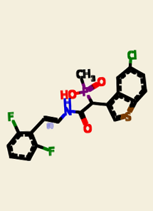 CP(=O)(O)C(C(=O)N/C=C/c1c(F)cccc1F)c1csc2ccc(Cl)cc12